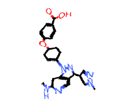 CNc1cc2c(cn1)c(-c1cnn(C)c1)nn2C1CCC(Oc2ccc(C(=O)O)cc2)CC1